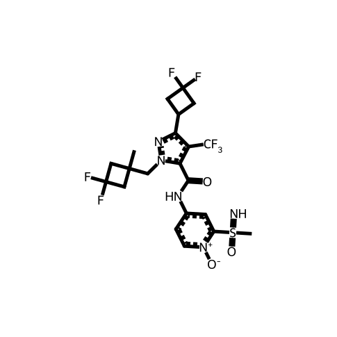 CC1(Cn2nc(C3CC(F)(F)C3)c(C(F)(F)F)c2C(=O)Nc2cc[n+]([O-])c(S(C)(=N)=O)c2)CC(F)(F)C1